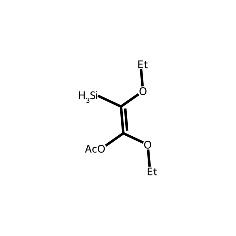 CCOC([SiH3])=C(OCC)OC(C)=O